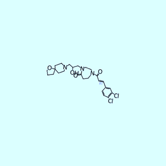 O=C(/C=C/c1ccc(Cl)c(Cl)c1)N1CCC(=O)N(CC(O)CN2CCC3(CCCO3)CC2)CC1